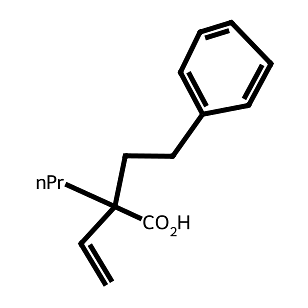 C=CC(CCC)(CCc1ccccc1)C(=O)O